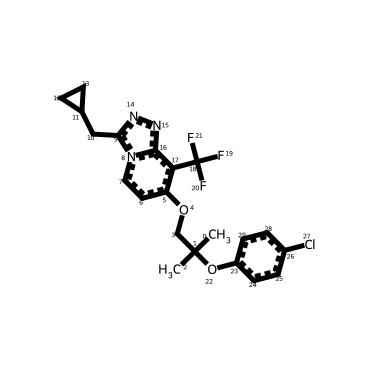 CC(C)(COc1ccn2c(CC3CC3)nnc2c1C(F)(F)F)Oc1ccc(Cl)cc1